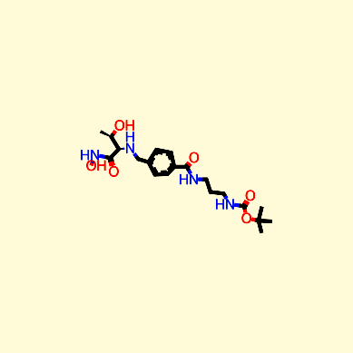 C[C@@H](O)[C@H](NCc1ccc(C(=O)NCCCNC(=O)OC(C)(C)C)cc1)C(=O)NO